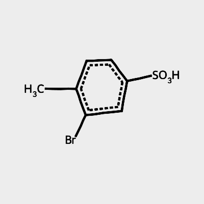 Cc1ccc(S(=O)(=O)O)cc1Br